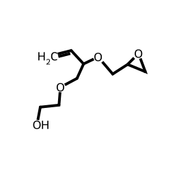 C=CC(COCCO)OCC1CO1